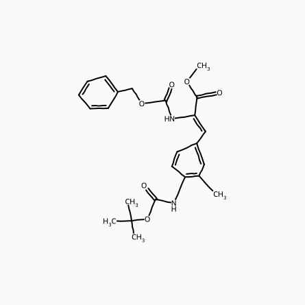 COC(=O)/C(=C/c1ccc(NC(=O)OC(C)(C)C)c(C)c1)NC(=O)OCc1ccccc1